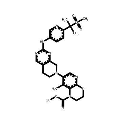 Cc1c(N2CCc3cnc(Nc4ccc(C(C)(C)S(C)(=O)=O)nc4)nc3C2)cnc2c1N(C(=O)OC(C)(C)C)CCO2